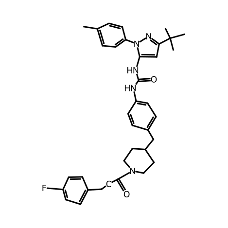 Cc1ccc(-n2nc(C(C)(C)C)cc2NC(=O)Nc2ccc(CC3CCN(C(=O)CCc4ccc(F)cc4)CC3)cc2)cc1